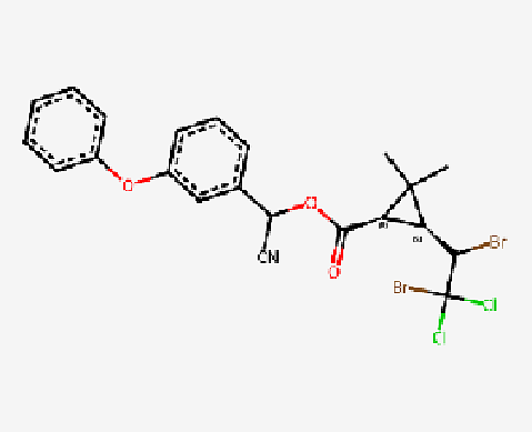 CC1(C)[C@H](C(=O)OC(C#N)c2cccc(Oc3ccccc3)c2)[C@@H]1C(Br)C(Cl)(Cl)Br